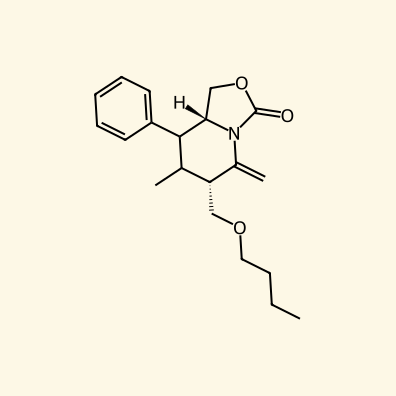 C=C1[C@H](COCCCC)C(C)C(c2ccccc2)[C@@H]2COC(=O)N12